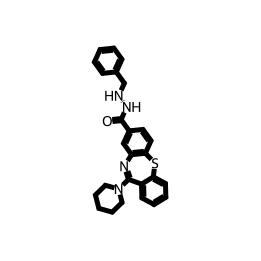 O=C(NNCc1ccccc1)c1ccc2c(c1)N=C(N1CCCCC1)c1ccccc1S2